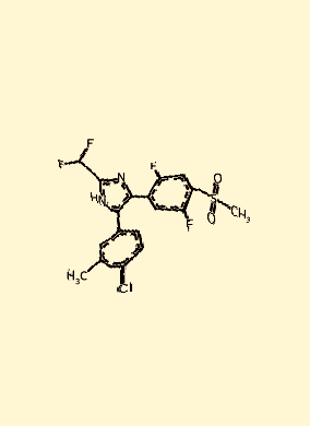 Cc1cc(-c2[nH]c(C(F)F)nc2-c2cc(F)c(S(C)(=O)=O)cc2F)ccc1Cl